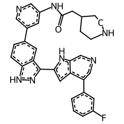 O=C(CC1CCNCC1)Nc1cncc(-c2ccc3[nH]nc(-c4cc5c(-c6cccc(F)c6)cncc5[nH]4)c3c2)c1